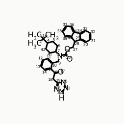 CC(C)(C)C1CCC(N(Cc2ccccc2C(=O)Cc2nn[nH]n2)C(=O)OCC2c3ccccc3-c3ccccc32)CC1